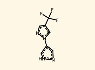 FC(F)(F)c1cnn(-c2cn[nH]c2)c1